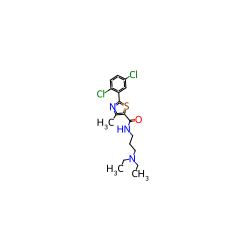 CCN(CC)CCCNC(=O)c1sc(-c2cc(Cl)ccc2Cl)nc1C